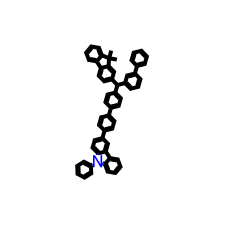 CC1(C)c2ccccc2-c2ccc(C(c3ccc(-c4ccc(-c5ccc6c(c5)c5ccccc5n6-c5ccccc5)cc4)cc3)c3cccc(-c4ccccc4)c3)cc21